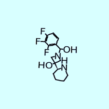 OC(c1ccc(F)c(F)c1F)N1CC(O)([C@@H]2CCCCN2)C1